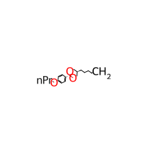 C=CCCC[C@H]1CO[C@H](c2ccc(OCCC)cc2)OC1